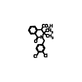 CC1(C)C(C(=O)O)c2ccccc2C(=O)N1Cc1ccc(Cl)c(Cl)c1